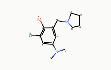 CN(C)c1cc(Cl)c(O)c(CN2CCCC2)c1